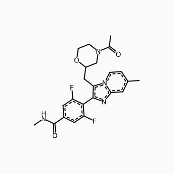 CNC(=O)c1cc(F)c(-c2nc3cc(C)ccn3c2CC2CN(C(C)=O)CCO2)c(F)c1